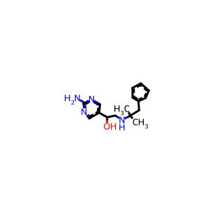 CC(C)(Cc1ccccc1)NCC(O)c1cnc(N)nc1